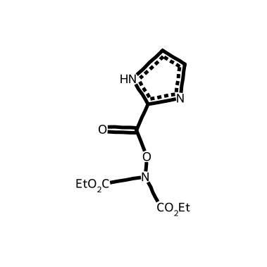 CCOC(=O)N(OC(=O)c1ncc[nH]1)C(=O)OCC